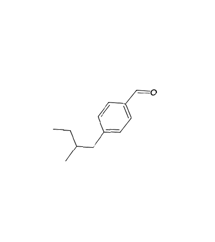 CCC(C)Cc1ccc(C=O)cc1